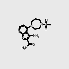 CS(=O)(=O)N1CCCN(c2ccnc3sc(C(N)=O)c(N)c23)CC1